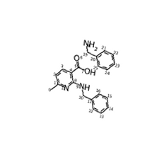 Cc1ccc(C(=O)O)c(NCc2ccccc2)n1.NCc1ccccc1